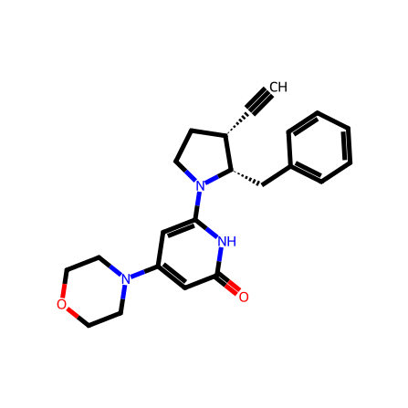 C#C[C@H]1CCN(c2cc(N3CCOCC3)cc(=O)[nH]2)[C@H]1Cc1ccccc1